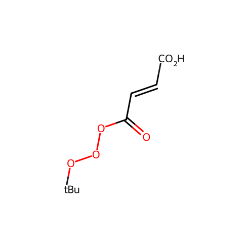 CC(C)(C)OOOC(=O)C=CC(=O)O